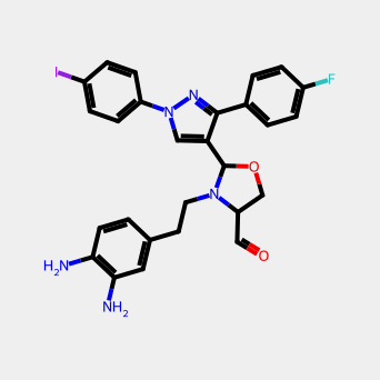 Nc1ccc(CCN2C(C=O)COC2c2cn(-c3ccc(I)cc3)nc2-c2ccc(F)cc2)cc1N